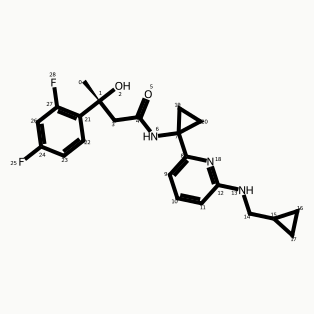 C[C@@](O)(CC(=O)NC1(c2cccc(NCC3CC3)n2)CC1)c1ccc(F)cc1F